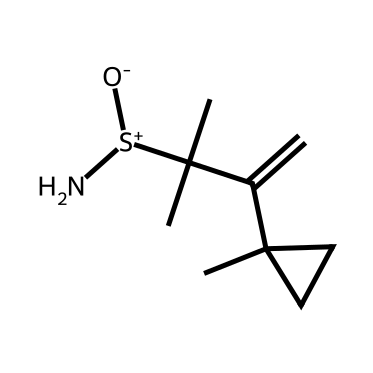 C=C(C1(C)CC1)C(C)(C)[S+](N)[O-]